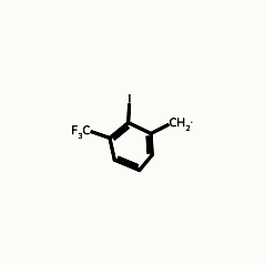 [CH2]c1cccc(C(F)(F)F)c1I